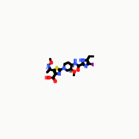 CCc1[nH]c(C(=O)N[C@@H]2CCN(c3nc(C(=O)O)c(/C(C)=N\OC)s3)C[C@@H]2OC)nc1I